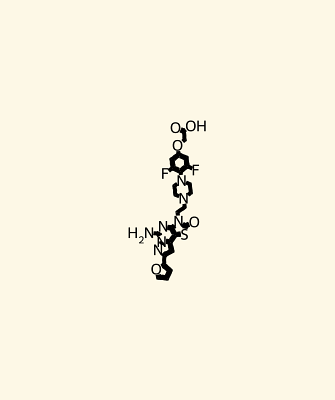 Nc1nc2c(sc(=O)n2CCN2CCN(c3c(F)cc(OCC(=O)O)cc3F)CC2)c2cc(-c3ccco3)nn12